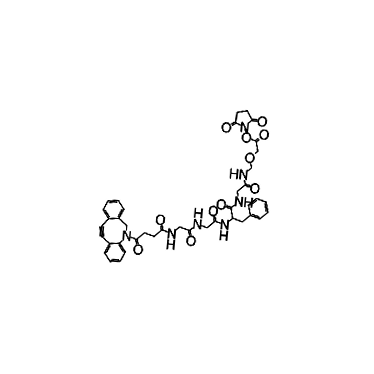 O=C(CCC(=O)N1Cc2ccccc2C#Cc2ccccc21)NCC(=O)NCC(=O)NC(Cc1ccccc1)C(=O)NCC(=O)NCOCC(=O)ON1C(=O)CCC1=O